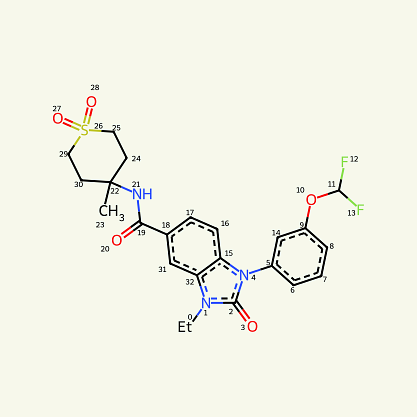 CCn1c(=O)n(-c2cccc(OC(F)F)c2)c2ccc(C(=O)NC3(C)CCS(=O)(=O)CC3)cc21